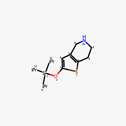 CC(C)[Si](Oc1cc2c(s1)CCNC2)(C(C)C)C(C)C